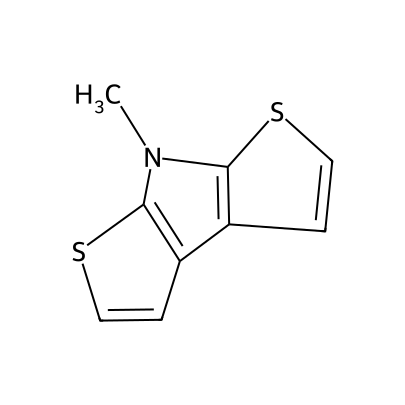 Cn1c2sccc2c2ccsc21